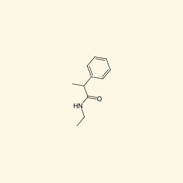 CCNC(=O)C(C)c1ccccc1